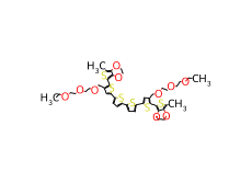 CCOCCOCCOCc1cc(-c2ccc(-c3ccc(-c4cc(COCCOCCOCC)c(-c5sc(C)c6c5OCCO6)s4)s3)s2)sc1-c1sc(C)c2c1OCCO2